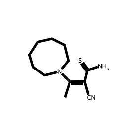 CC(=C(C#N)C(N)=S)N1CCCCCCC1